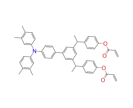 C=CC(=O)Oc1ccc(C(C)c2cc(-c3ccc(N(c4ccc(C)c(C)c4)c4ccc(C)c(C)c4)cc3)cc(C(C)c3ccc(OC(=O)C=C)cc3)c2)cc1